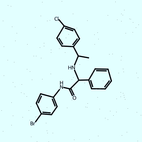 CC(NC(C(=O)Nc1ccc(Br)cc1)c1ccccc1)c1ccc(Cl)cc1